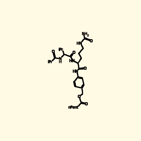 CCCCCC(=O)OCc1ccc(NC(=O)[C@H](CCCNC(N)=O)NC(=O)C(NC(=O)C(C)C)C(C)C)cc1